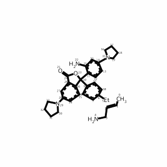 CC=CCN.CCc1ccc(C2(c3ccc(N4CCCC4)cc3N)OC(=O)c3cc(N4CCCC4)ccc32)cc1